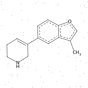 Cc1coc2ccc(C3=CCCNC3)cc12